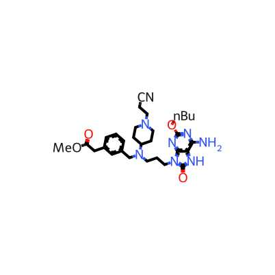 CCCCOc1nc(N)c2[nH]c(=O)n(CCCN(Cc3cccc(CC(=O)OC)c3)C3CCN(CCC#N)CC3)c2n1